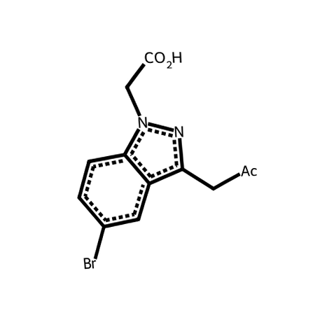 CC(=O)Cc1nn(CC(=O)O)c2ccc(Br)cc12